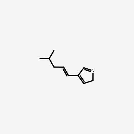 CC(C)C/C=C/C1=CCN=C1